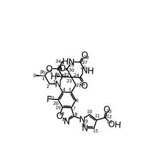 C[C@@H]1CN2c3c(cc4c(-n5cc(C(=O)O)cn5)noc4c3F)CC3(C(=O)NC(=O)NC3=O)[C@H]2[C@H](C)O1